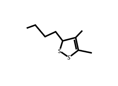 CCCCC1SSC(C)=C1C